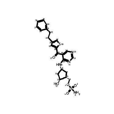 NS(=O)(=O)OC[C@H]1C[C@@H](Nc2ncncc2C(=O)c2cc(CCc3ccccc3)cs2)C[C@@H]1O